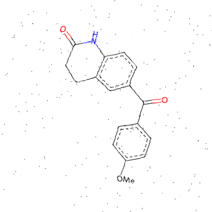 COc1ccc(C(=O)c2ccc3c(c2)CCC(=O)N3)cc1